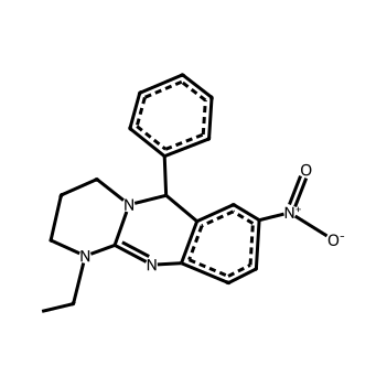 CCN1CCCN2C1=Nc1ccc([N+](=O)[O-])cc1C2c1ccccc1